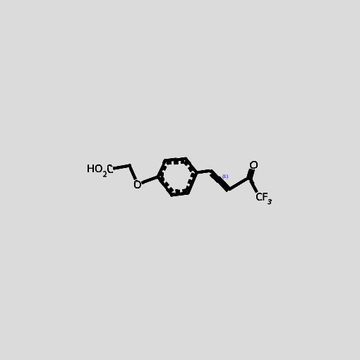 O=C(O)COc1ccc(/C=C/C(=O)C(F)(F)F)cc1